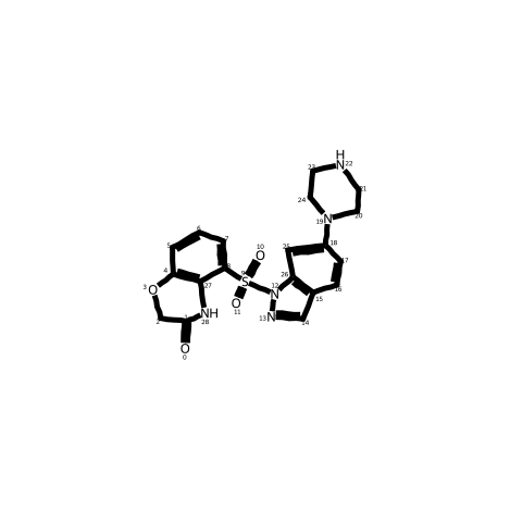 O=C1COc2cccc(S(=O)(=O)n3ncc4ccc(N5CCNCC5)cc43)c2N1